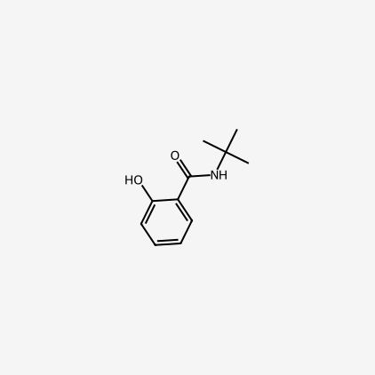 CC(C)(C)NC(=O)c1ccccc1O